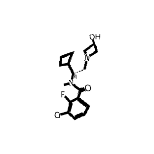 CN(C(=O)c1cccc(Cl)c1F)[C@@H](CN1CC(O)C1)C1CCC1